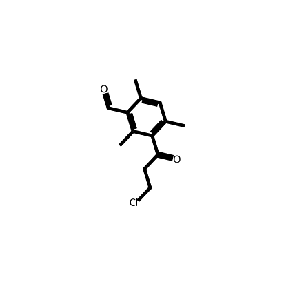 Cc1cc(C)c(C(=O)CCCl)c(C)c1C=O